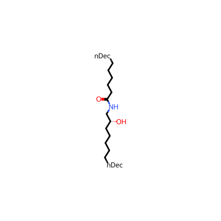 CCCCCCCCCCCCCCCC(=O)NC[C@H](O)CCCCCCCCCCCCCCC